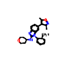 Cc1noc(C)c1-c1ccc2nc(NC3CCOCC3)n(-c3ccccc3C(=O)O)c2c1